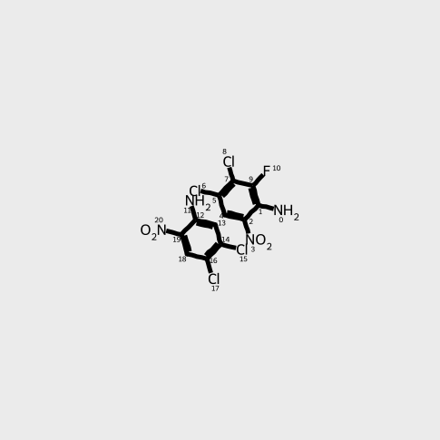 Nc1c([N+](=O)[O-])cc(Cl)c(Cl)c1F.Nc1cc(Cl)c(Cl)cc1[N+](=O)[O-]